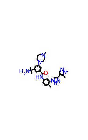 Cc1ccc(NC(=O)c2cc(N3CCCN(C)CC3)cc(C(C)(C)N)c2)cc1-n1cc(-c2cnn(C)c2C)nn1